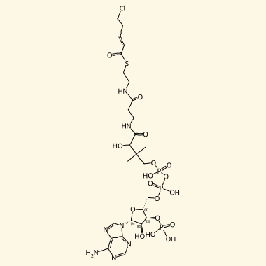 CC(C)(COP(=O)(O)OP(=O)(O)OC[C@H]1O[C@@H](n2cnc3c(N)ncnc32)[C@H](O)[C@@H]1OP(=O)(O)O)C(O)C(=O)NCCC(=O)NCCSC(=O)C=CCCCl